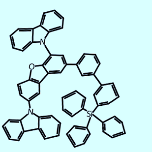 c1ccc([Si](c2ccccc2)(c2ccccc2)c2cccc(-c3cccc(-c4cc(-n5c6ccccc6c6ccccc65)c5oc6ccc(-n7c8ccccc8c8ccccc87)cc6c5c4)c3)c2)cc1